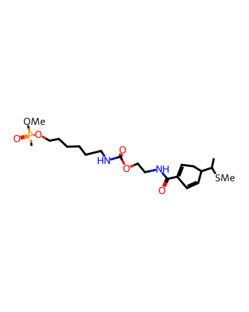 COP(C)(=O)OCCCCCCNC(=O)OCCNC(=O)C1=CCC(C(C)SC)C=C1